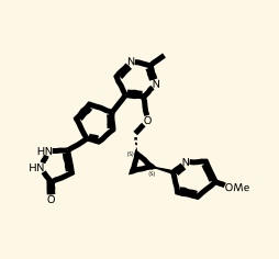 COc1ccc([C@H]2C[C@@H]2COc2nc(C)ncc2-c2ccc(-c3cc(=O)[nH][nH]3)cc2)nc1